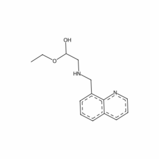 CCOC(O)CNCc1cccc2cccnc12